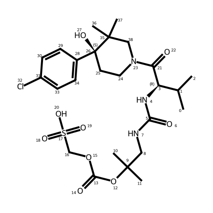 CC(C)[C@@H](NC(=O)NCC(C)(C)OC(=O)OCS(=O)(=O)O)C(=O)N1CC[C@](O)(c2ccc(Cl)cc2)C(C)(C)C1